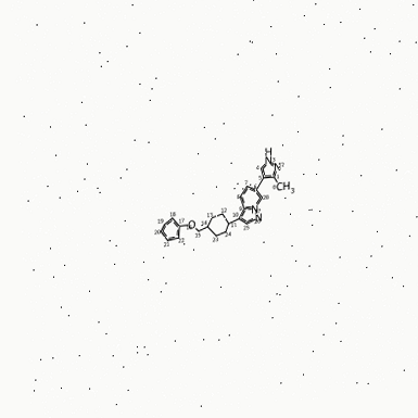 Cc1n[nH]cc1-c1ccc2c(C3CCC(COc4ccccc4)CC3)cnn2c1